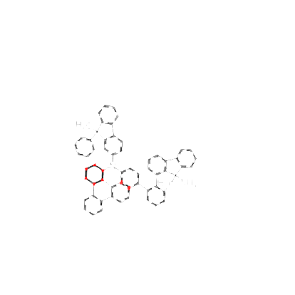 CC1(C)c2ccccc2-c2cccc(-c3ccccc3-c3ccc(N(c4ccc5c(c4)C(C)(c4ccccc4)c4ccccc4-5)c4ccccc4-c4ccccc4-c4ccccc4-c4ccccc4)cc3)c21